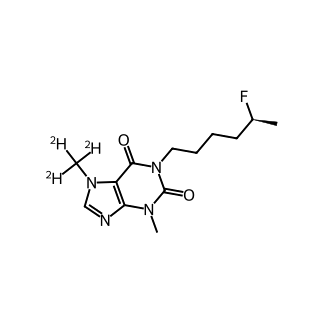 [2H]C([2H])([2H])n1cnc2c1c(=O)n(CCCC[C@H](C)F)c(=O)n2C